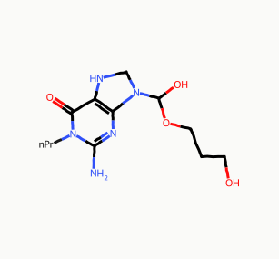 CCCn1c(N)nc2c(c1=O)NCN2C(O)OCCCO